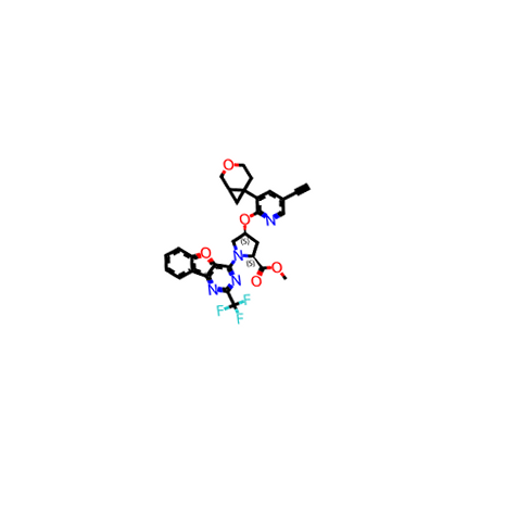 C#Cc1cnc(O[C@H]2C[C@@H](C(=O)OC)N(c3nc(C(F)(F)F)nc4c3oc3ccccc34)C2)c(C23CCOCC2C3)c1